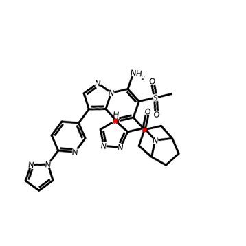 CS(=O)(=O)c1c(C2CC3CCC(C2)N3C(=O)c2nnc[nH]2)nc2c(-c3ccc(-n4cccn4)nc3)cnn2c1N